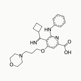 N=C(c1c(OCCCN2CCOCC2)cc(C(=O)O)nc1Nc1ccccc1)C1CCC1